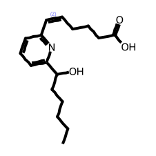 CCCCCC(O)c1cccc(/C=C\CCCC(=O)O)n1